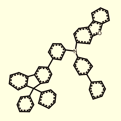 c1ccc(-c2ccc(N(c3cccc(-c4ccc5c(c4)-c4ccccc4C5(c4ccccc4)c4ccccc4)c3)c3ccc4c(c3)oc3ccccc34)cc2)cc1